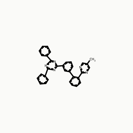 Cc1cnc(-c2ccccc2-c2cccc(-c3nc(-c4ccccc4)nc(-c4ccccc4)n3)c2)nc1